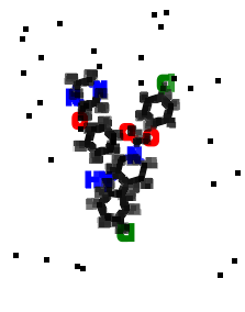 O=C(Oc1ccc(Cl)cc1)N1CCc2c([nH]c3ccc(Cl)cc23)[C@@H]1c1ccc(Oc2cnccn2)cc1